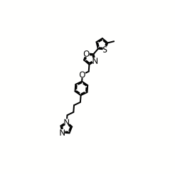 Cc1ccc(-c2nc(COc3ccc(CCCCn4ccnc4)cc3)co2)s1